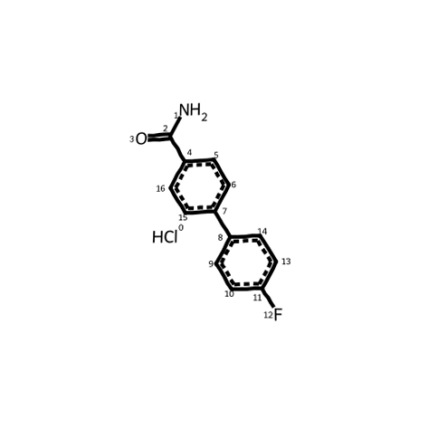 Cl.NC(=O)c1ccc(-c2ccc(F)cc2)cc1